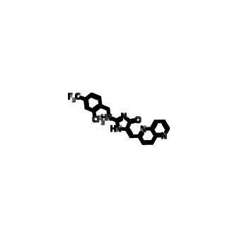 O=C1N=C(NCc2ccc(C(F)(F)F)cc2C(F)(F)F)NC1=Cc1ccc2ncccc2n1